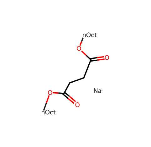 CCCCCCCCOC(=O)CCC(=O)OCCCCCCCC.[Na]